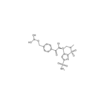 CCN(C(=O)c1ccc(CON(O)O)cc1)[C@H]1CN(C)S(=O)(=O)c2sc(S(N)(=O)=O)cc21